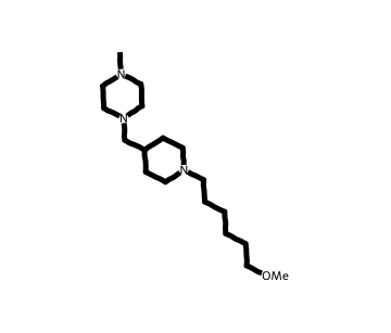 COCCCCCCN1CCC(CN2CCN(C)CC2)CC1